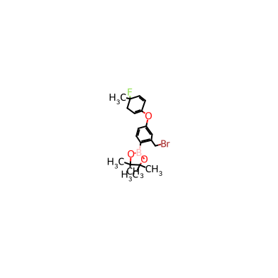 CC1(F)C=CC(Oc2ccc(B3OC(C)(C)C(C)(C)O3)c(CBr)c2)=CC1